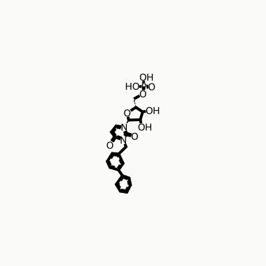 O=c1ccn([C@@H]2O[C@H](COP(=O)(O)O)C(O)C2O)c(=O)n1Cc1cccc(-c2ccccc2)c1